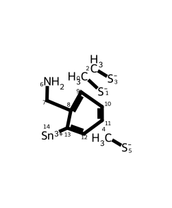 C[S-].C[S-].C[S-].NCc1cccc[c]1[Sn+3]